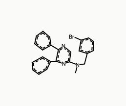 CN(Cc1cccc(Br)c1)c1cnc(-c2ccccc2)c(-c2ccccc2)n1